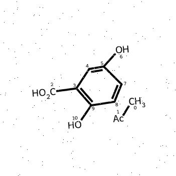 CC(C)=O.O=C(O)c1cc(O)ccc1O